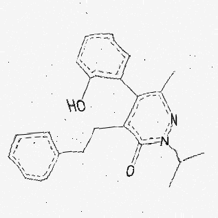 Cc1nn(C(C)C)c(=O)c(CCc2ccccc2)c1-c1ccccc1O